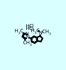 Cc1cc(C)n(-c2ccc3c(c2)C(N(C)C)CC3)n1.Cl.Cl